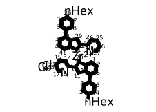 CCCCCCc1ccc(-c2cccc3c2C=C(c2ccccn2)[CH]3[Zr+2][CH]2C(c3ccccn3)=Cc3c(-c4ccc(CCCCCC)cc4)cccc32)cc1.[Cl-].[Cl-]